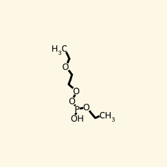 CCOCCOOP(O)OCC